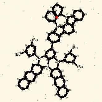 CC(C)(C)c1cc(N2c3cc4cc5ccccc5cc4cc3B3c4cc5cc6ccccc6cc5cc4N(c4cc(C(C)(C)C)cc(C(C)(C)C)c4)c4cc(-c5ccc6c(c5)c5ccc7c8ccccc8n(-c8ccccc8)c7c5n6-c5ccccc5)cc2c43)cc(C(C)(C)C)c1